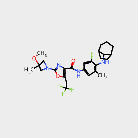 COC1(C)CN(c2nc(C(=O)Nc3cc(C)c(NC4C5CCCC4CC5)c(F)c3)c(CC(F)(F)F)o2)C1